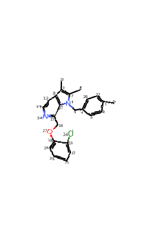 Cc1ccc(Cn2c(C)c(C)c3ccnc(COc4ccccc4Cl)c32)cc1